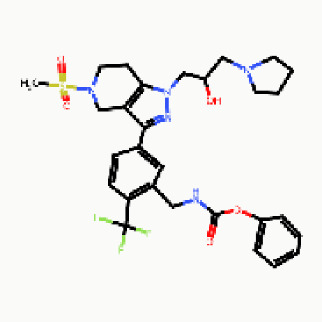 CS(=O)(=O)N1CCc2c(c(-c3ccc(C(F)(F)F)c(CNC(=O)Oc4ccccc4)c3)nn2CC(O)CN2CCCC2)C1